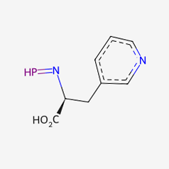 O=C(O)[C@H](Cc1cccnc1)N=P